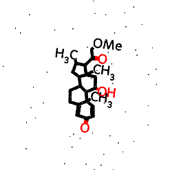 COCC(=O)C1C(C)CC2C3CCC4=CC(=O)C=CC4(C)C3C(O)CC21C